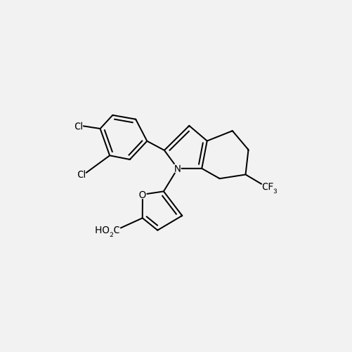 O=C(O)c1ccc(-n2c(-c3ccc(Cl)c(Cl)c3)cc3c2CC(C(F)(F)F)CC3)o1